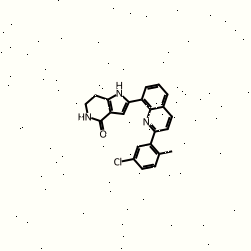 Cc1ccc(Cl)cc1-c1ccc2cccc(-c3cc4c([nH]3)CCNC4=O)c2n1